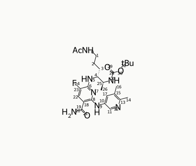 CC(=O)NCCC[C@@H](Nc1nc(Nc2cnc(C)c(C)c2)c(C(N)=O)cc1F)[C@H](C)NC(=O)OC(C)(C)C